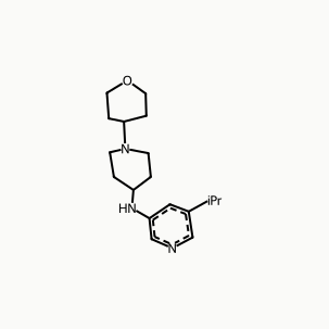 CC(C)c1cncc(NC2CCN(C3CCOCC3)CC2)c1